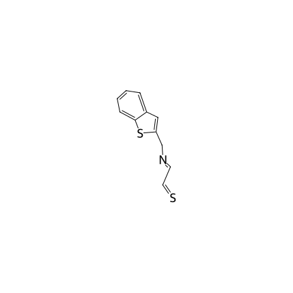 S=CC=NCc1cc2ccccc2s1